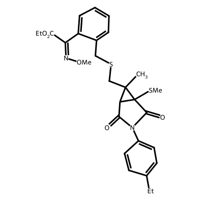 CCOC(=O)/C(=N/OC)c1ccccc1CSCC1(C)C2C(=O)N(c3ccc(CC)cc3)C(=O)C21SC